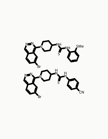 CSc1ccccc1NC(=S)NC1CCN(c2nncc3ccc(Br)cc23)CC1.N#Cc1ccc(NC(=S)NC2CCN(c3nncc4ccc(Br)cc34)CC2)cc1